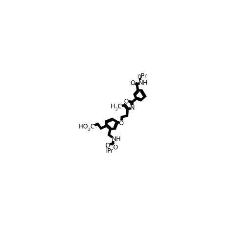 CCCNC(=O)c1cccc(-c2nc(CCOc3ccc(CCC(=O)O)c(CNC(=O)OC(C)C)c3)c(C)o2)c1